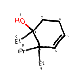 CCC1(O)CCC=CC1(CC)C(C)C